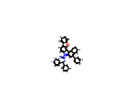 c1ccc(-c2nc(-n3c4cc(-c5ccccc5)c5ccccc5c4c4c5oc6ccccc6c5ccc43)nc3ccccc23)cc1